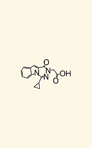 O=C(O)Cn1nc(C2CC2)n2c(cc3ccccc32)c1=O